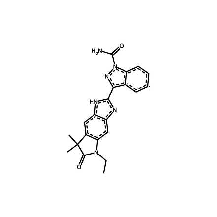 CCN1C(=O)C(C)(C)c2cc3[nH]c(-c4nn(C(N)=O)c5cc[c]cc45)nc3cc21